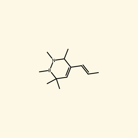 CC=CC1=CC(C)(C)B(C)N(C)C1C